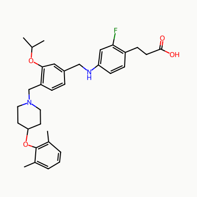 Cc1cccc(C)c1OC1CCN(Cc2ccc(CNc3ccc(CCC(=O)O)c(F)c3)cc2OC(C)C)CC1